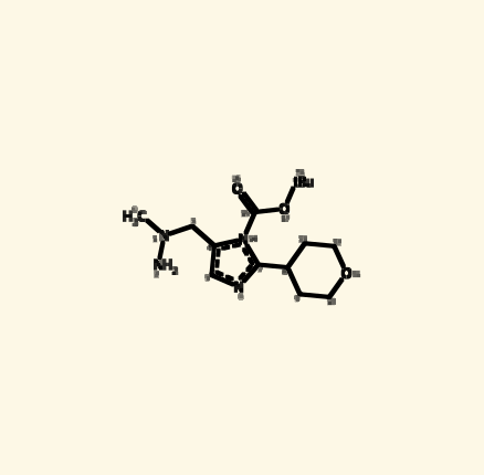 CN(N)Cc1cnc(C2CCOCC2)n1C(=O)OC(C)(C)C